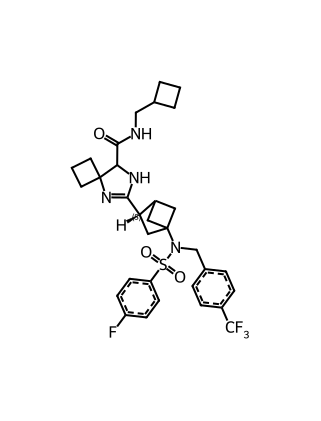 O=C(NCC1CCC1)C1NC([C@H]2CC3(N(Cc4ccc(C(F)(F)F)cc4)S(=O)(=O)c4ccc(F)cc4)CC2C3)=NC12CCC2